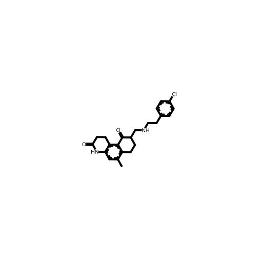 Cc1cc2c(c3c1CCC(CNCCc1ccc(Cl)cc1)C3=O)CCC(=O)N2